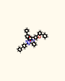 c1ccc(-c2ccc(-c3nc(-c4ccc(-c5ccccc5)cc4)nc(-c4ccccc4-n4c5ccccc5c5cc6c(cc54)oc4c(-c5ccccc5)cccc46)n3)cc2)cc1